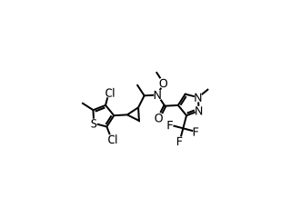 CON(C(=O)c1cn(C)nc1C(F)(F)F)C(C)C1CC1c1c(Cl)sc(C)c1Cl